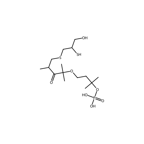 CC(CSCC(S)CO)C(=O)C(C)(C)OCCC(C)(C)OP(=O)(O)O